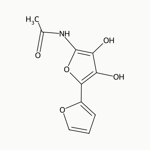 CC(=O)Nc1oc(-c2ccco2)c(O)c1O